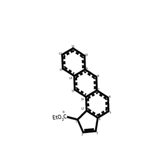 CCOC(=O)C1C=Cc2ccc3cc4ccccc4cc3c21